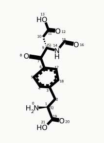 N[C@@H](Cc1ccc(C(=O)[C@H](CC(=O)O)NC=O)cc1)C(=O)O